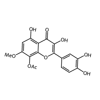 COc1cc(O)c2c(=O)c(O)c(-c3ccc(O)c(O)c3)oc2c1OC(C)=O